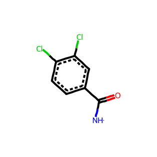 [NH]C(=O)c1ccc(Cl)c(Cl)c1